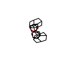 O=C(C12CC3CC(C1)C(c1ccccc1)C(C3)C2)C12CC3CC(C1)C(c1ccccc1)C(C3)C2